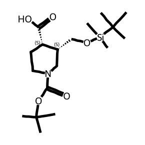 CC(C)(C)OC(=O)N1CC[C@H](C(=O)O)[C@H](CO[Si](C)(C)C(C)(C)C)C1